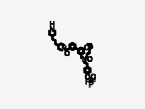 O=C(/C=C/c1ccco1)N(CCc1ccc(OC(=O)C(F)(F)F)cc1)Cc1cccc(-c2cccc(C(=O)N3CCC(CCCC4CCNCC4)CC3)c2)c1